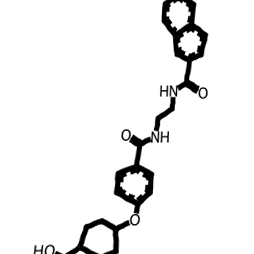 O=C(NCCNC(=O)c1ccc2ccccc2c1)c1ccc(OC2CCC(CO)CC2)cc1